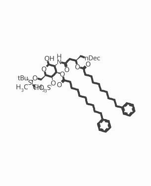 CCCCCCCCCCC[C@H](CC(=O)N[C@H]1C(O)O[C@H](CO[Si](C)(C)C(C)(C)C)[C@@H](OS(=O)(=O)O)[C@@H]1OC(=O)CCCCCCCCCc1ccccc1)OC(=O)CCCCCCCCCc1ccccc1